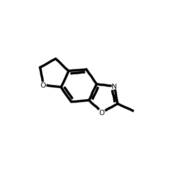 Cc1nc2cc3c(cc2o1)OCC3